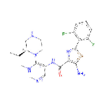 CC[C@H]1CNCCN1/C(NC)=C(/C=N\C)NC(=O)c1nc(-c2c(F)cccc2F)sc1N